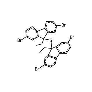 CCC1(SC2(CC)c3cc(Br)ccc3-c3ccc(Br)cc32)c2cc(Br)ccc2-c2ccc(Br)cc21